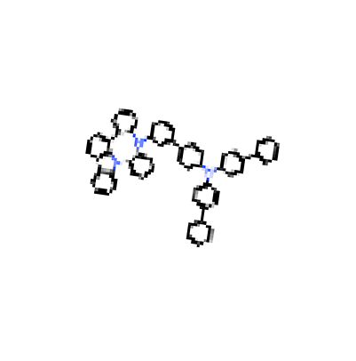 c1ccc(-c2ccc(N(c3ccc(-c4ccccc4)cc3)c3ccc(-c4cccc(-n5c6ccccc6c6cccc7c8ccccc8n(c8ccccc85)c67)c4)cc3)cc2)cc1